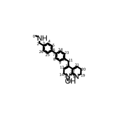 CNCc1ccc(-c2ccc(CC3=CCN(O)C4=NCCC=C34)cc2)cc1